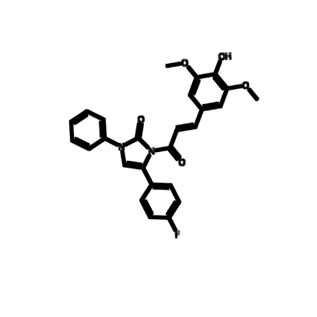 COc1cc(C=CC(=O)n2c(-c3ccc(F)cc3)cn(-c3ccccc3)c2=O)cc(OC)c1O